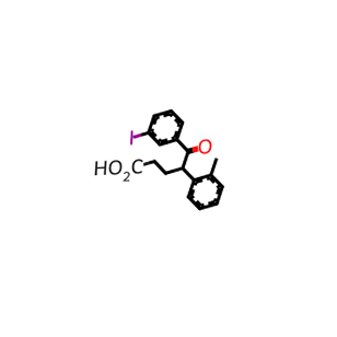 Cc1ccccc1C(CCC(=O)O)C(=O)c1cccc(I)c1